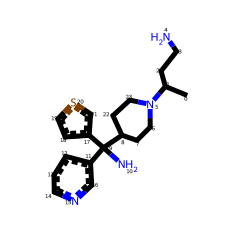 CC(CCN)N1CCC(C(N)(c2cccnc2)c2ccsc2)CC1